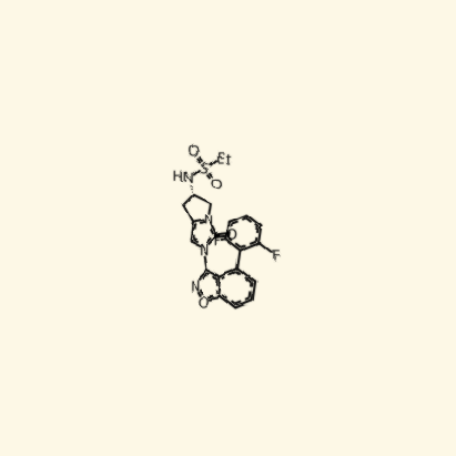 CCS(=O)(=O)N[C@H]1Cc2cn(-c3noc4cccc(-c5c(F)cccc5F)c34)c(=O)n2C1